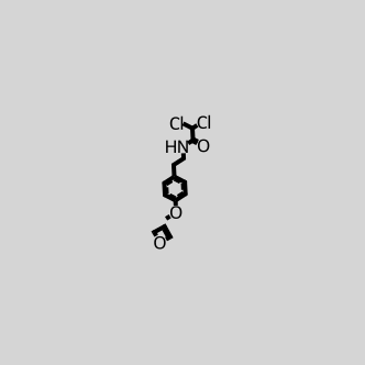 C1=COC1.COc1ccc(CCNC(=O)C(Cl)Cl)cc1